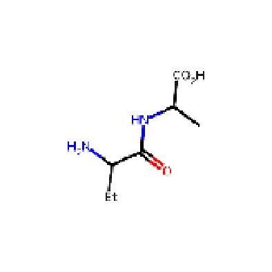 CCC(N)C(=O)NC(C)C(=O)O